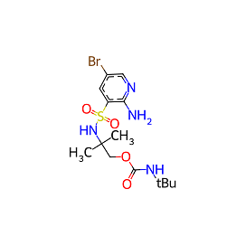 CC(C)(C)NC(=O)OCC(C)(C)NS(=O)(=O)c1cc(Br)cnc1N